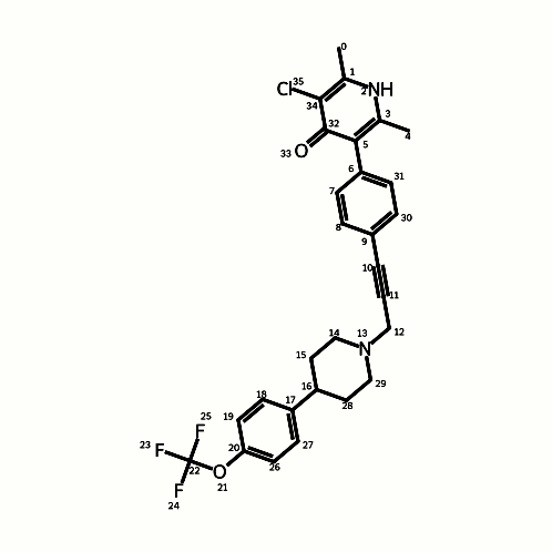 Cc1[nH]c(C)c(-c2ccc(C#CCN3CCC(c4ccc(OC(F)(F)F)cc4)CC3)cc2)c(=O)c1Cl